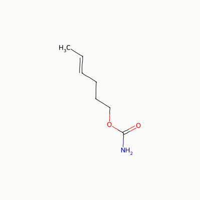 C/C=C/CCCOC(N)=O